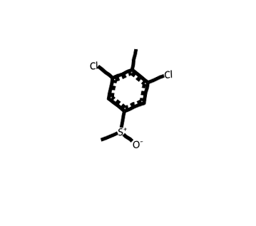 Cc1c(Cl)cc([S+](C)[O-])cc1Cl